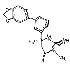 CN1C(=N)N[C@](C)(c2cccc(-c3ccc4c(c3)OCO4)c2)CC1=O